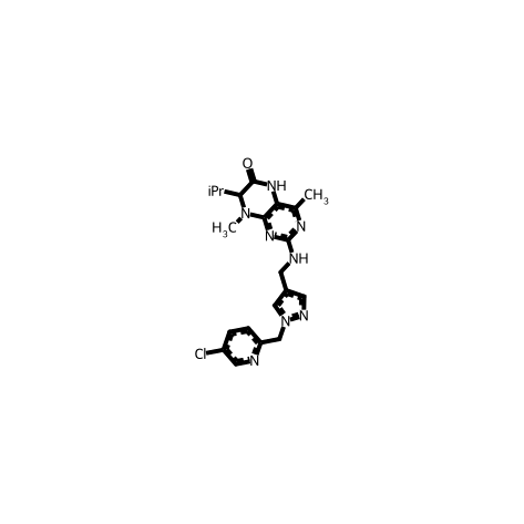 Cc1nc(NCc2cnn(Cc3ccc(Cl)cn3)c2)nc2c1NC(=O)C(C(C)C)N2C